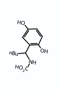 CCCCC(NC(=O)O)c1cc(O)ccc1O